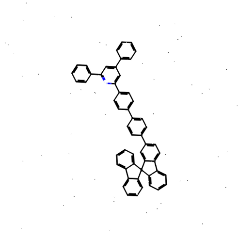 c1ccc(-c2cc(-c3ccccc3)nc(-c3ccc(-c4ccc(-c5ccc6c(c5)C5(c7ccccc7-c7ccccc75)c5ccccc5-6)cc4)cc3)c2)cc1